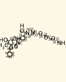 Cc1c(O)cc(O)c(C(=O)N2Cc3ccc(CN4CCN(CCOCCOCCOCCN)CC4)cc3C2)c1OCc1ccccc1.Cl